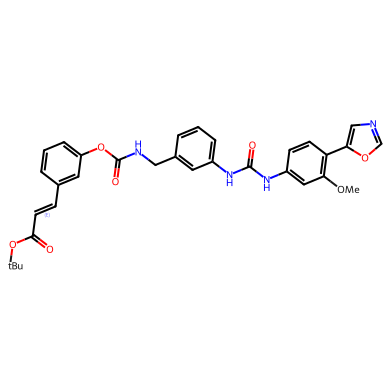 COc1cc(NC(=O)Nc2cccc(CNC(=O)Oc3cccc(/C=C/C(=O)OC(C)(C)C)c3)c2)ccc1-c1cnco1